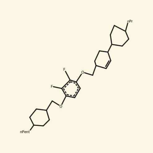 CCCCCC1CCC(COc2ccc(OCC3C=CC(C4CCC(CCC)CC4)CC3)c(F)c2F)CC1